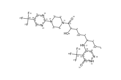 COCC(COCC(O)C(=O)N1CCN(c2ncc(C(F)(F)F)cn2)CC1)Nc1cn[nH]c(=O)c1C(F)(F)F